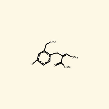 CO/C=C(/Oc1ccc(Cl)cc1COC(C)=O)C(=O)OC